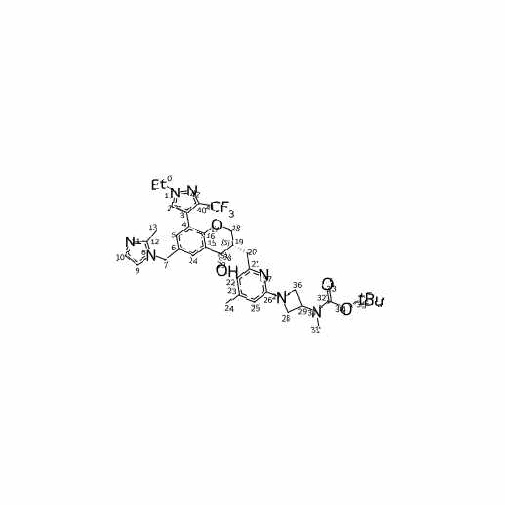 CCn1cc(-c2cc(Cn3ccnc3C)cc3c2OC[C@H](Cc2cc(C)cc(N4CC(N(C)C(=O)OC(C)(C)C)C4)n2)[C@@H]3O)c(C(F)(F)F)n1